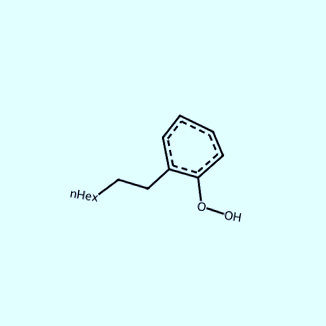 CCCCCCCCc1ccccc1OO